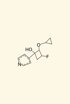 OC1(c2ccncc2)CC(F)C1OC1CC1